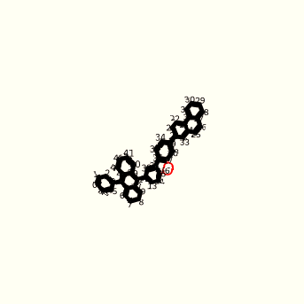 c1ccc(-c2c3ccccc3c(-c3ccc4oc5cc(-c6ccc7c(ccc8ccccc87)c6)ccc5c4c3)c3ccccc23)cc1